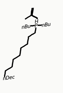 C=C(C)C[PH](CCCC)(CCCC)CCCCCCCCCCCCCCCCCC